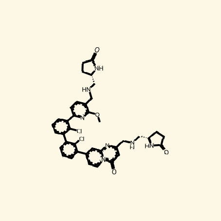 COc1nc(-c2cccc(-c3cccc(-c4ccn5c(=O)cc(CNC[C@@H]6CCC(=O)N6)nc5c4)c3Cl)c2Cl)ccc1CNC[C@@H]1CCC(=O)N1